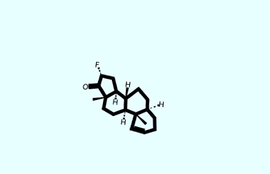 C[C@]12C=CCC[C@@H]1CC[C@@H]1[C@@H]2CC[C@]2(C)C(=O)[C@H](F)C[C@@H]12